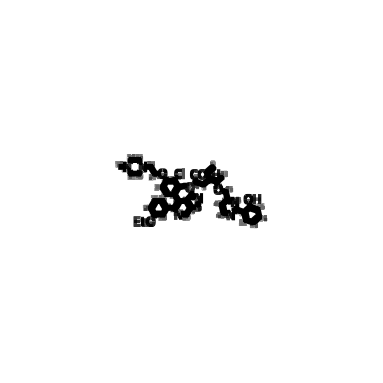 C=C/C(CC(Oc1nsc2cnc(-c3cccc(OCC)c3)c(-c3ccc(OCCN4CCN(C)CC4)c(Cl)c3C)c12)C(=O)O)=C(\C)OCc1ccnc(-c2ccccc2O)n1